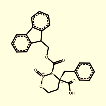 O=C(OCC1c2ccccc2-c2ccccc21)N1[S@](=O)OCC[C@@]1(Cc1ccccc1)C(=O)O